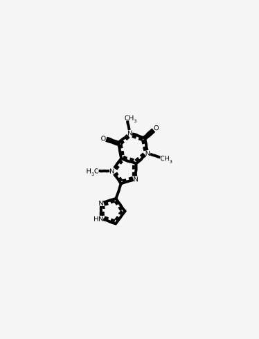 Cn1c(=O)c2c(nc(-c3cc[nH]n3)n2C)n(C)c1=O